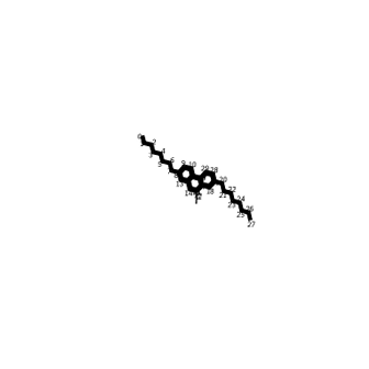 CCCCCCCCc1ccc2c(c1)cc(F)c1cc(CCCCCCCC)ccc12